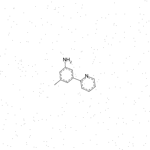 Cc1cc(N)cc(-c2ccccn2)c1